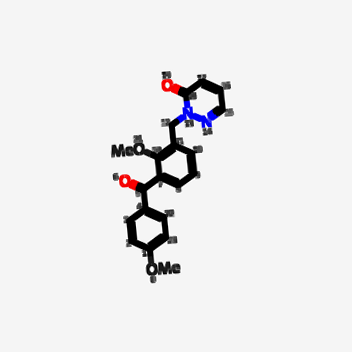 COc1ccc(C(=O)c2cccc(Cn3ncccc3=O)c2OC)cc1